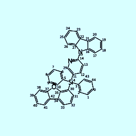 c1ccc([Si](c2ccccc2)(c2ccc(-n3c4ccccc4c4ccccc43)nc2)c2cccc3c2oc2ccccc23)cc1